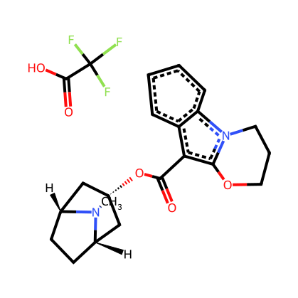 CN1[C@@H]2CC[C@H]1C[C@@H](OC(=O)c1c3n(c4ccccc14)CCCO3)C2.O=C(O)C(F)(F)F